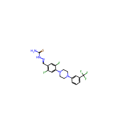 NC(=S)NN=Cc1cc(F)c(N2CCN(c3cccc(C(F)(F)F)c3)CC2)cc1F